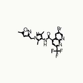 Cc1cc(Cn2nc(C)c(NC(=O)c3cc(C(F)(F)F)nc4ncc(Br)cc34)c2C)no1